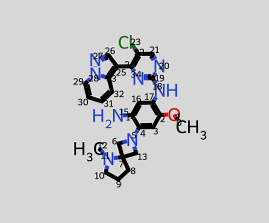 COc1cc(N2CC3(CCCN3C)C2)c(N)cc1Nc1ncc(Cl)c(-c2cnn3ccccc23)n1